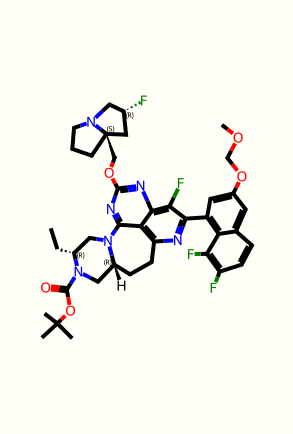 CC[C@@H]1CN2c3nc(OC[C@@]45CCCN4C[C@H](F)C5)nc4c(F)c(-c5cc(OCOC)cc6ccc(F)c(F)c56)nc(c34)CC[C@@H]2CN1C(=O)OC(C)(C)C